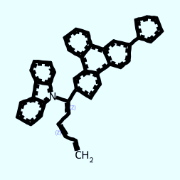 C=C/C=C\C=C(\c1ccc2c3ccc(-c4ccccc4)cc3c3ccccc3c2c1)n1c2ccccc2c2ccccc21